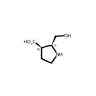 O=C(O)[C@@H]1CCN[C@@H]1CO